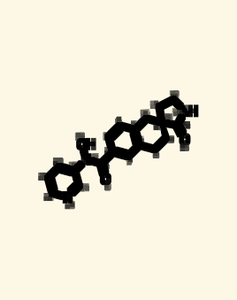 O=C(c1ccc2c(c1)CC[C@]1(CCNC1=O)C2)N(O)c1cccnc1